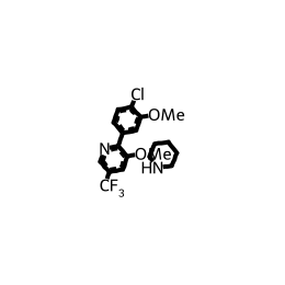 C1CCNCC1.COc1cc(-c2ncc(C(F)(F)F)cc2OC)ccc1Cl